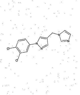 Clc1ccc(-n2cc(Cn3ccnc3)cn2)cc1Cl